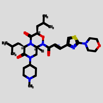 CC(C)C[C@H]1ON(C(=O)/C=C/c2csc(N3CCOCC3)n2)[C@H]2CN(C3CCN(C)CC3)C(=O)[C@H](CC(C)C)N2C1=O